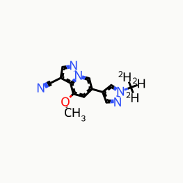 [2H]C([2H])([2H])n1cc(-c2cc(OC)c3c(C#N)cnn3c2)cn1